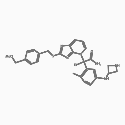 CCC(C(N)=O)(c1cc(NC2CNC2)ccc1C)n1cccc2nc(SCc3ccc(COC)cc3)nc1-2